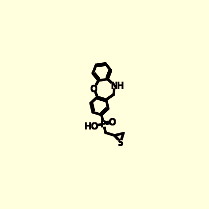 O=P(O)(CC1CS1)c1ccc2c(c1)CNc1ccccc1O2